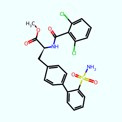 COC(=O)[C@H](Cc1ccc(-c2ccccc2S(N)(=O)=O)cc1)NC(=O)c1c(Cl)cccc1Cl